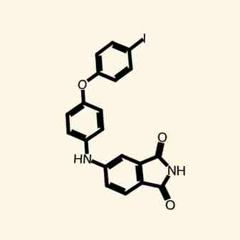 O=C1NC(=O)c2cc(Nc3ccc(Oc4ccc(I)cc4)cc3)ccc21